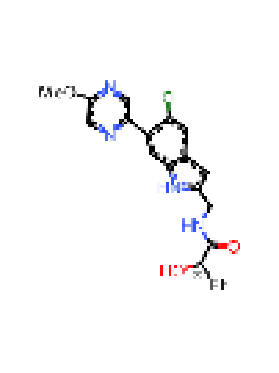 CC[C@@H](O)C(=O)NCc1cc2cc(Cl)c(-c3cnc(OC)cn3)cc2[nH]1